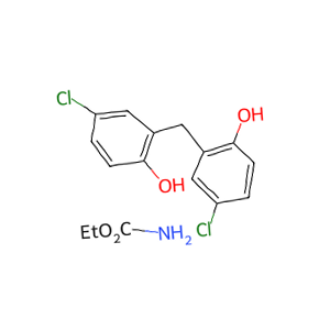 CCOC(N)=O.Oc1ccc(Cl)cc1Cc1cc(Cl)ccc1O